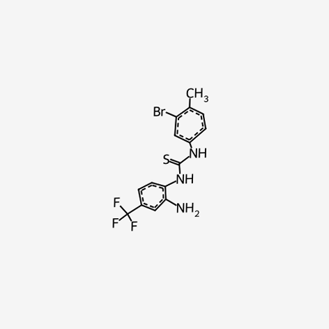 Cc1ccc(NC(=S)Nc2ccc(C(F)(F)F)cc2N)cc1Br